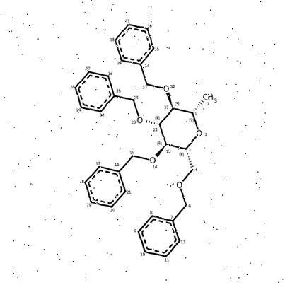 C[C@@H]1O[C@H](COCc2ccccc2)[C@@H](OCc2ccccc2)[C@H](OCc2ccccc2)[C@H]1OCc1ccccc1